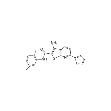 Cc1ccc(C)c(NC(=O)c2sc3nc(-c4cccs4)ccc3c2N)c1